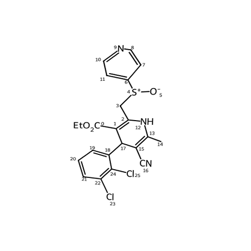 CCOC(=O)C1=C(C[S+]([O-])c2ccncc2)NC(C)=C(C#N)C1c1cccc(Cl)c1Cl